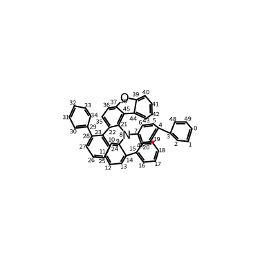 c1ccc(-c2ccc(N(c3ccccc3-c3ccccc3)c3c(-c4ccccc4-c4ccccc4)ccc4oc5ccccc5c34)cc2)cc1